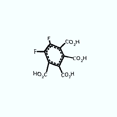 O=C(O)c1c(F)c(F)c(C(=O)O)c(C(=O)O)c1C(=O)O